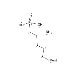 CCCCCCCCCCP(=O)(O)O.N